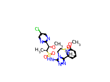 COc1cccc(-c2nnc(NS(=O)(=O)[C@@H](C)[C@H](OC)c3ncc(Cl)cn3)n2CC[S@@+](C)[O-])n1